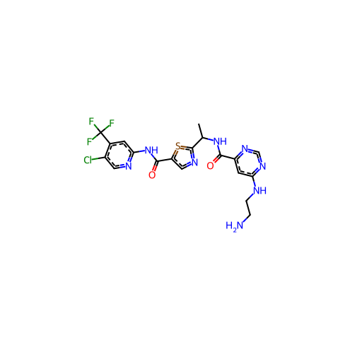 CC(NC(=O)c1cc(NCCN)ncn1)c1ncc(C(=O)Nc2cc(C(F)(F)F)c(Cl)cn2)s1